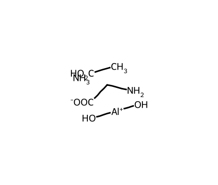 CC(=O)O.N.NCC(=O)[O-].[OH][Al+][OH]